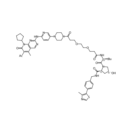 CC(=O)c1c(C)c2cnc(Nc3ccc(N4CCN(C(=O)CCOCCOCCC(=O)N[C@H](C(=O)N5C[C@H](O)C[C@H]5C(=O)NCc5ccc(-c6scnc6C)cc5)C(C)(C)C)CC4)cn3)nc2n(C2CCCC2)c1=O